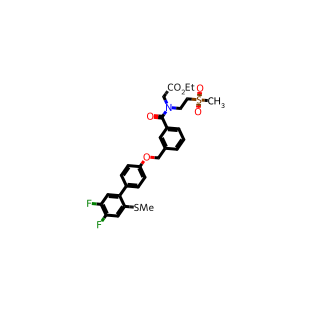 CCOC(=O)CN(CCS(C)(=O)=O)C(=O)c1cccc(COc2ccc(-c3cc(F)c(F)cc3SC)cc2)c1